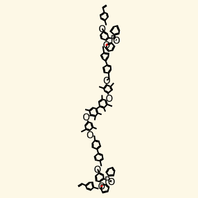 C=Cc1ccc(COc2ccc(OCc3ccc(-c4ccc(COc5c(C)cc(Oc6c(C)cc(-c7cc(C)c(Oc8cc(C)c(OCc9ccc(-c%10ccc(COc%11ccc(OCc%12ccc(C=C)cc%12)c(P(=O)(c%12ccccc%12)c%12ccccc%12)c%11)cc%10)cc9)c(C)c8)c(C)c7C)c(C)c6C)cc5C)cc4)cc3)c(P(=O)(c3ccccc3)c3ccccc3)c2)cc1